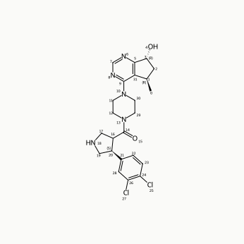 C[C@@H]1C[C@@H](O)c2ncnc(N3CCN(C(=O)C4CNC[C@@H]4c4ccc(Cl)c(Cl)c4)CC3)c21